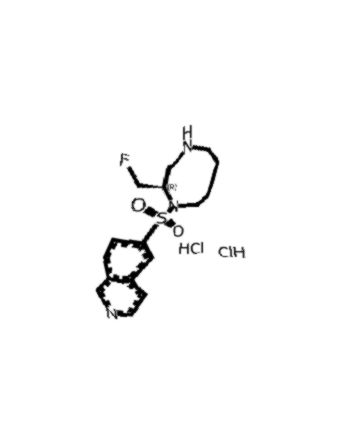 Cl.Cl.O=S(=O)(c1ccc2cnccc2c1)N1CCCCNC[C@@H]1CF